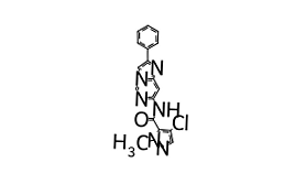 Cn1ncc(Cl)c1C(=O)Nc1cc2nc(-c3ccccc3)cn2cn1